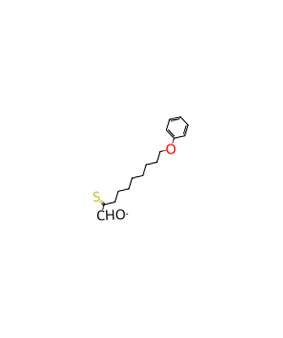 O=[C]C(=S)CCCCCCCCOc1ccccc1